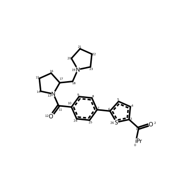 CC(C)C(=O)c1ccc(-c2ccc(C(=O)N3CCCC3CN3CCCC3)cc2)s1